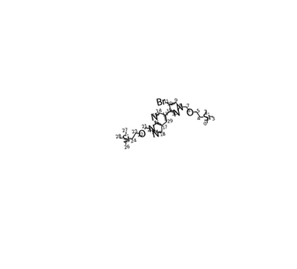 C[Si](C)(C)CCOCn1cc(Br)c(-c2cnc3c(cnn3COCC[Si](C)(C)C)c2)n1